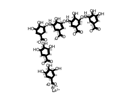 O=C([O-])c1cc(O)c(O)c(O)c1.O=C([O-])c1cc(O)c(O)c(O)c1.O=C([O-])c1cc(O)c(O)c(O)c1.O=C([O-])c1cc(O)c(O)c(O)c1.O=C([O-])c1cc(O)c(O)c(O)c1.O=C([O-])c1cc(O)c(O)c(O)c1.[Al+3].[La+3]